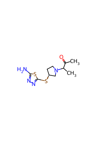 CC(=O)C(C)N1CC[C@H](Sc2nnc(N)s2)C1